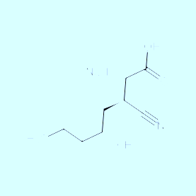 CCC[C@@H](C)C[C@H](C#N)CC(=O)O.[NaH]